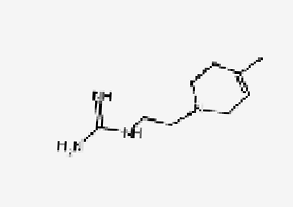 CC1=CCN(CCNC(=N)N)CC1